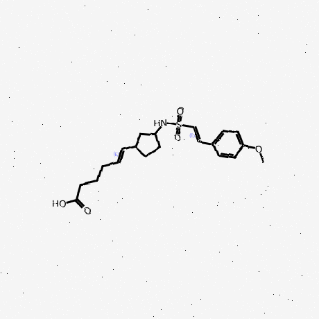 COc1ccc(/C=C/S(=O)(=O)NC2CCC(/C=C/CCCC(=O)O)C2)cc1